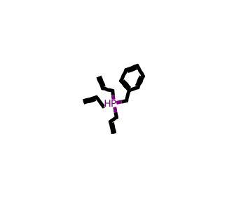 C=CC[PH](CC=C)(CC=C)Cc1ccccc1